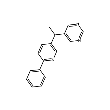 CC(c1cncnc1)c1ccc(-c2ccccc2)nc1